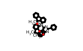 CC1(C)c2ccccc2-c2c(N(c3cccc4c3C(C)(C)c3ccccc3-4)c3nc(-c4ccccc4)nc4ccccc34)cccc21